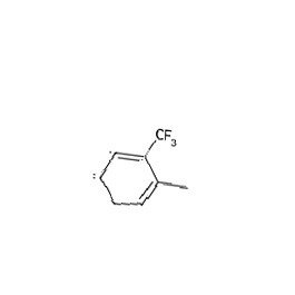 CC1=CC[C][C]=C1C(F)(F)F